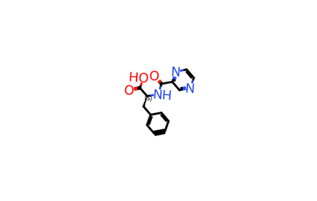 O=C(N[C@@H](Cc1cc#ccc1)C(=O)O)c1cnccn1